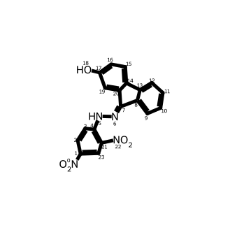 O=[N+]([O-])c1ccc(NN=C2c3ccccc3-c3ccc(O)cc32)c([N+](=O)[O-])c1